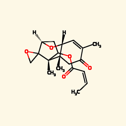 C/C=C\C(=O)OC1C[C@H]2O[C@@H]3C=C(C)C(=O)C[C@]3(C)[C@]1(C)C21CO1